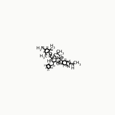 CNc1nc2ccc(S(=O)(=O)N(CC(C)C)CC(O)C(Cc3ccccc3)NC(=O)COc3c(C)cc(N)cc3C)cc2s1